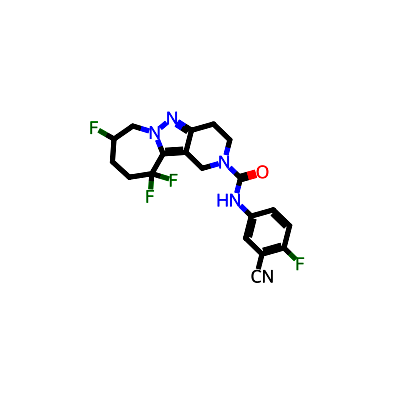 N#Cc1cc(NC(=O)N2CCc3nn4c(c3C2)C(F)(F)CCC(F)C4)ccc1F